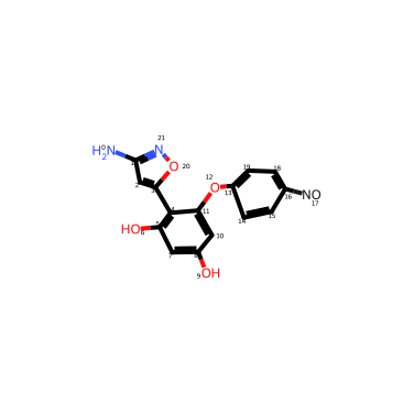 Nc1cc(-c2c(O)cc(O)cc2Oc2ccc(N=O)cc2)on1